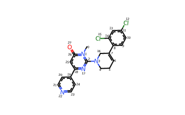 Cn1c(N2CCC=C(c3ccc(Cl)cc3Cl)C2)nc(-c2ccncc2)cc1=O